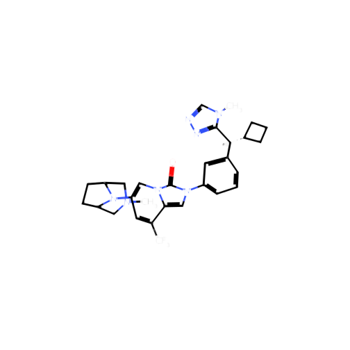 CN1CC2CCC(C1)N2c1cc(C(F)(F)F)c2cn(-c3cccc([C@H](c4nncn4C)C4CCC4)c3)c(=O)n2c1